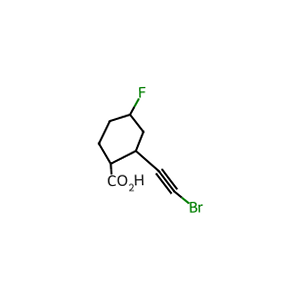 O=C(O)C1CCC(F)CC1C#CBr